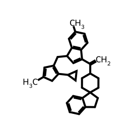 C=C(C1=CC(CC2=C(C3CC3)CC(C)=C2)c2cc(C)ccc21)C1CCC2(CCc3ccccc32)CC1